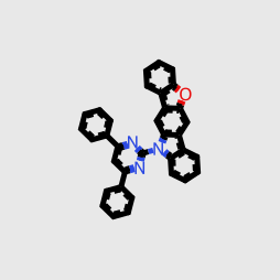 c1ccc(-c2cc(-c3ccccc3)nc(-n3c4ccccc4c4cc5oc6ccccc6c5cc43)n2)cc1